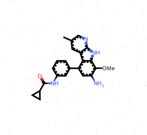 COc1c(N)cc(-c2cccc(NC(=O)C3CC3)c2)c2c1[nH]c1ncc(C)cc12